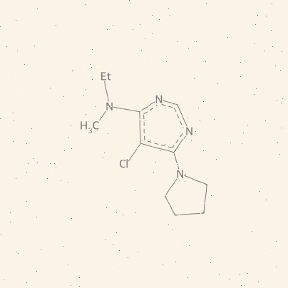 CCN(C)c1ncnc(N2CCCC2)c1Cl